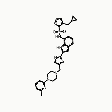 Cc1cccc(N2CCN(Cc3cnc(-c4cc5cccc(NS(=O)(=O)c6sccc6CC6CC6)c5[nH]4)s3)CC2)n1